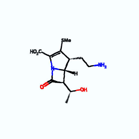 CSC1=C(C(=O)O)N2C(=O)[C@H]([C@@H](C)O)[C@H]2[C@H]1CCN